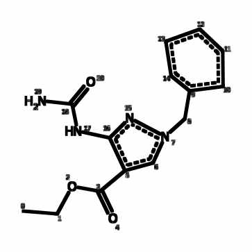 CCOC(=O)c1cn(Cc2ccccc2)nc1NC(N)=O